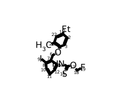 CCc1ccc(OCc2c(I)cccc2NC(=S)OCF)c(C)c1